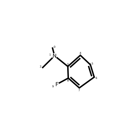 CN(C)c1c[c]ccc1F